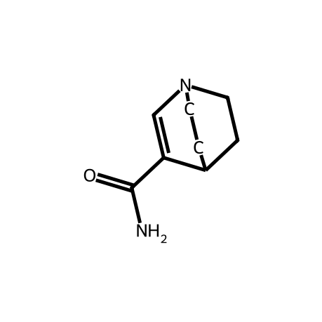 NC(=O)C1=CN2CCC1CC2